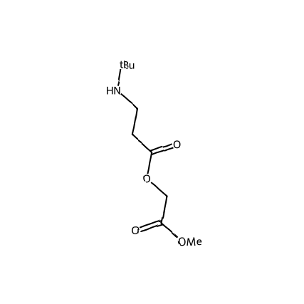 COC(=O)COC(=O)CCNC(C)(C)C